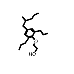 CCCc1cc(CC(C)CCC)cc(CCC)c1OCCO